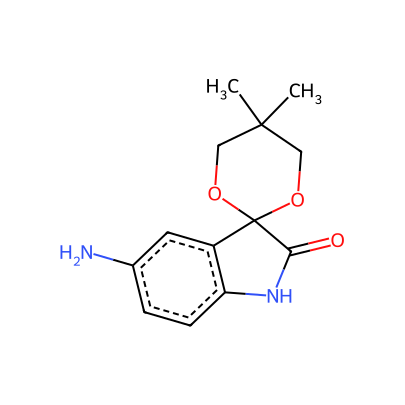 CC1(C)COC2(OC1)C(=O)Nc1ccc(N)cc12